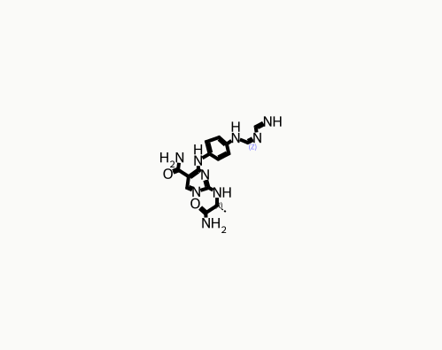 C[C@@H](Nc1ncc(C(N)=O)c(Nc2ccc(N/C=N\C=N)cc2)n1)C(N)=O